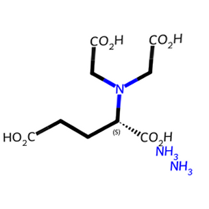 N.N.O=C(O)CC[C@@H](C(=O)O)N(CC(=O)O)CC(=O)O